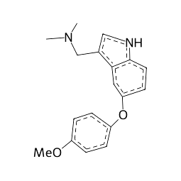 COc1ccc(Oc2ccc3[nH]cc(CN(C)C)c3c2)cc1